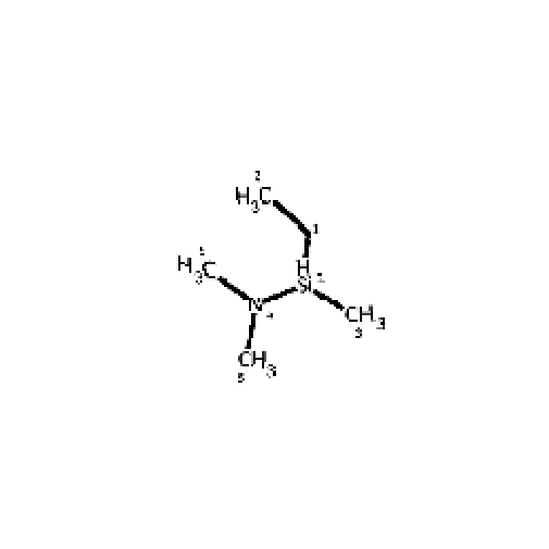 CC[SiH](C)N(C)C